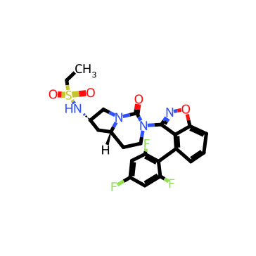 CCS(=O)(=O)N[C@H]1C[C@H]2CCN(c3noc4cccc(-c5c(F)cc(F)cc5F)c34)C(=O)N2C1